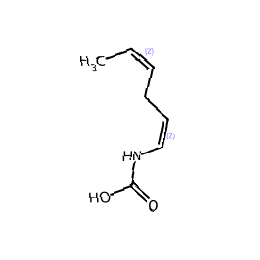 C/C=C\C/C=C\NC(=O)O